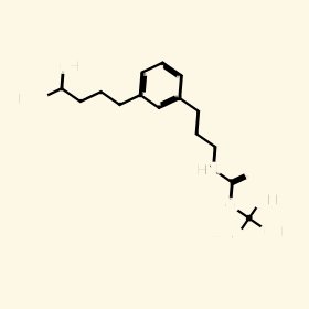 CC(C)CCCc1cccc(CCCNC(=O)OC(C)(C)C)c1